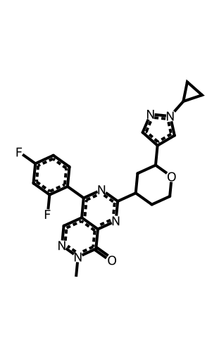 Cn1ncc2c(-c3ccc(F)cc3F)nc(C3CCOC(c4cnn(C5CC5)c4)C3)nc2c1=O